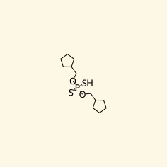 S=P(S)(OCC1CCCC1)OCC1CCCC1